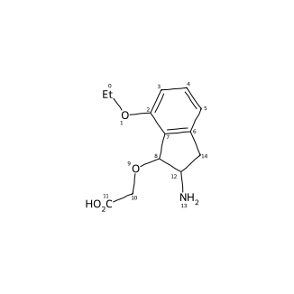 CCOc1cccc2c1C(OCC(=O)O)C(N)C2